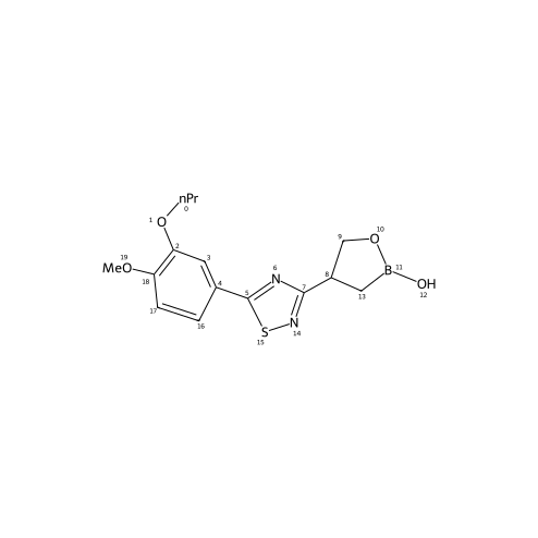 CCCOc1cc(-c2nc(C3COB(O)C3)ns2)ccc1OC